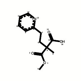 COC(=O)C(C)(CCc1ccccn1)C(=O)O